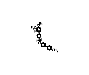 CCOc1ccc(C2CCC(C(F)(F)Oc3ccc(-c4ccc(C)cc4)cc3)OC2)c(F)c1C(F)(F)F